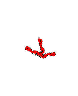 O=P(OCOc1ccc2ccc(OCCCCN3CCN(c4cccc5sccc45)CC3)cc2n1)(OCOc1ccc2ccc(OCCCCN3CCN(c4cccc5sccc45)CC3)cc2n1)OCOc1ccc2ccc(OCCCCN3CCN(c4cccc5sccc45)CC3)cc2n1